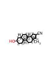 C[C@@]12CC[C@@H]3[C@H](CC[C@H]4C[C@@H](O)CC[C@]43C)[C@H]1C[C@@H](C#N)C2